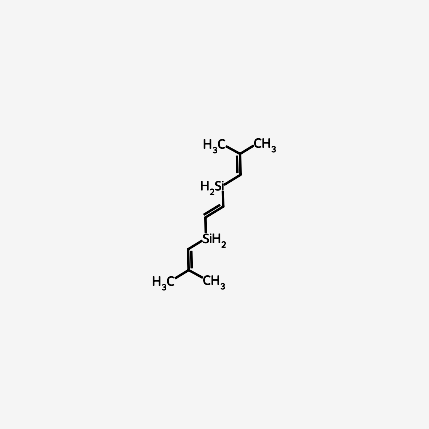 CC(C)=C[SiH2]C=C[SiH2]C=C(C)C